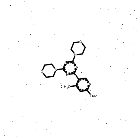 CC(=O)Oc1cc(C)c(-c2nc(N3CCOCC3)nc(N3CCOCC3)n2)cn1